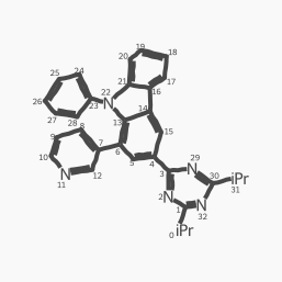 CC(C)c1nc(-c2cc(-c3cccnc3)c3c(c2)c2ccccc2n3-c2ccccc2)nc(C(C)C)n1